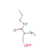 CCCNC(=O)C(N)CO